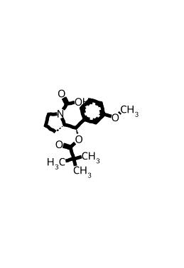 COc1cccc([C@H](OC(=O)C(C)(C)C)[C@@H]2CCCN2C(=O)O)c1